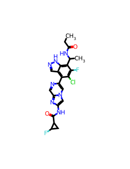 CCC(=O)NC(C)c1c(F)c(Cl)c(-c2cn3cc(NC(=O)C4CC4F)nc3cn2)c2cn[nH]c12